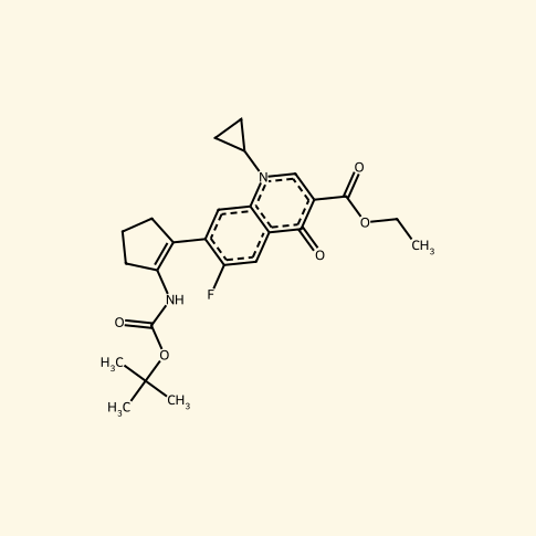 CCOC(=O)c1cn(C2CC2)c2cc(C3=C(NC(=O)OC(C)(C)C)CCC3)c(F)cc2c1=O